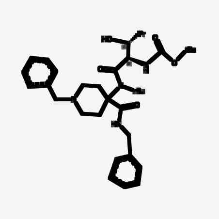 CCCCN(C(=O)[C@H](NC(=O)OC(C)(C)C)[C@H](O)C(C)C)C1(C(=O)NCc2ccccc2)CCN(Cc2ccccc2)CC1